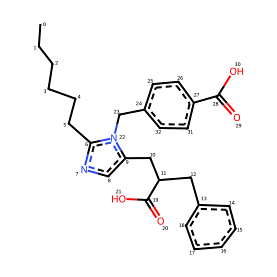 CCCCCCc1ncc(CC(Cc2ccccc2)C(=O)O)n1Cc1ccc(C(=O)O)cc1